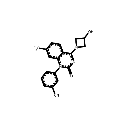 N#Cc1cccc(-n2c(=O)nc(N3CC(O)C3)c3ccc(C(F)(F)F)cc32)c1